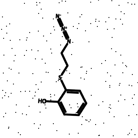 [N-]=[N+]=NCCSc1ccccc1O